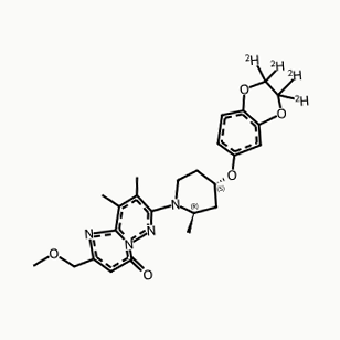 [2H]C1([2H])Oc2ccc(O[C@H]3CCN(c4nn5c(=O)cc(COC)nc5c(C)c4C)[C@H](C)C3)cc2OC1([2H])[2H]